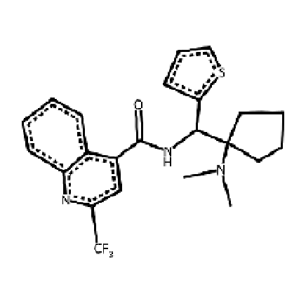 CN(C)C1(C(NC(=O)c2cc(C(F)(F)F)nc3ccccc23)c2cccs2)CCCC1